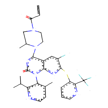 C=CC(=O)N1CCN(c2nc(=O)n(-c3c(C)ccnc3C(C)C)c3nc(Sc4cccnc4C(F)(F)F)c(F)cc23)C(C)C1